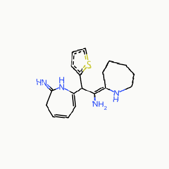 N=C1CC=CC=C(C(C(N)=C2CCCCCN2)c2cccs2)N1